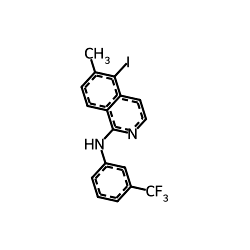 Cc1ccc2c(Nc3cccc(C(F)(F)F)c3)nccc2c1I